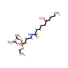 CCCCC(O)CCCCC(=O)NCCC[Si](OCC)(OCC)OCC